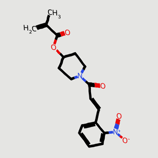 C=C(C)C(=O)OC1CCN(C(=O)/C=C/c2ccccc2[N+](=O)[O-])CC1